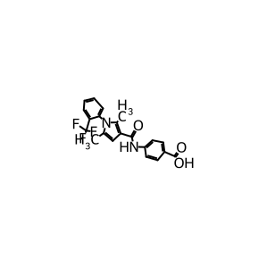 Cc1cc(C(=O)Nc2ccc(C(=O)O)cc2)c(C)n1-c1ccccc1C(F)(F)F